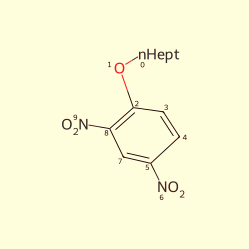 CCCCCCCOc1ccc([N+](=O)[O-])cc1[N+](=O)[O-]